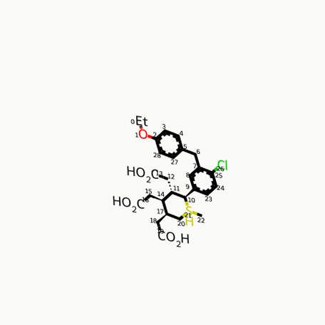 CCOc1ccc(Cc2cc([C@@H]3[C@@H](CC(=O)O)[C@H](CC(=O)O)[C@H](CC(=O)O)C[SH]3C)ccc2Cl)cc1